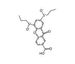 CCC[S+]([O-])c1cc([S+]([O-])CCC)c2oc3ccc(C(=O)O)cc3c(=O)c2c1